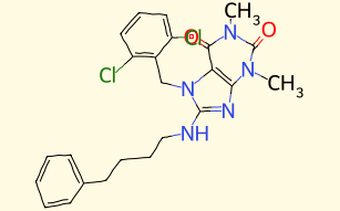 Cn1c(=O)c2c(nc(NCCCCc3ccccc3)n2Cc2c(Cl)cccc2Cl)n(C)c1=O